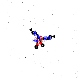 O=S(=O)(NCCOc1ccccc1)c1cn(Cc2cn3cc(C4CC4)ccc3n2)nc1N(CCOc1ccccc1)S(=O)(=O)c1cnn(Cc2cn3cc(C4CC4)ccc3n2)c1